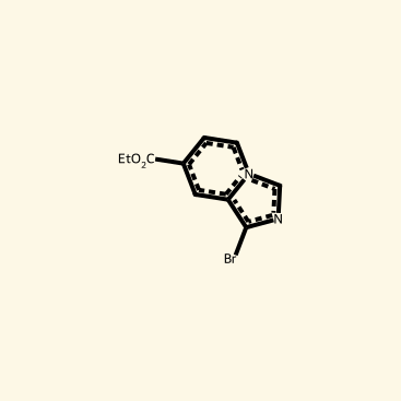 CCOC(=O)c1ccn2cnc(Br)c2c1